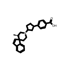 C[C@H]1CN(C2CCC(c3ccc(C(=O)O)cc3)C2)CCC12C=Cc1ccccc12